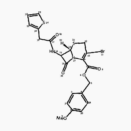 COc1ccc(COC(=O)C2=C(Br)CS[C@H]3C(NC(=O)Cc4cccs4)C(=O)N23)cc1